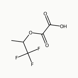 CC(OC(=O)C(=O)O)C(F)(F)F